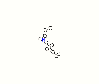 c1ccc(-c2cccc(-c3ccc4c(c3)c3ccccc3n4-c3ccc(-c4c5ccccc5c(-c5ccc(-c6cccc7ccccc67)cc5)c5ccccc45)cc3)c2)cc1